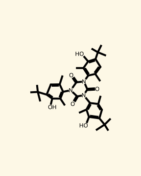 Cc1cc(C(C)(C)C)c(O)c(C)c1-n1c(=O)n(-c2c(C)cc(C(C)(C)C)c(O)c2C)c(=O)n(-c2c(C)cc(C(C)(C)C)c(O)c2C)c1=O